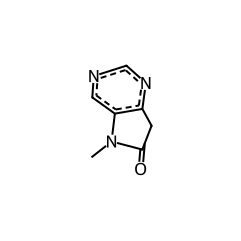 CN1C(=O)Cc2ncncc21